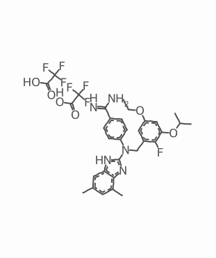 CCOc1cc(CN(c2ccc(C(=N)N)cc2)c2nc3c(C)cc(C)cc3[nH]2)c(F)c(OC(C)C)c1.O=C(O)C(F)(F)F.O=C(O)C(F)(F)F